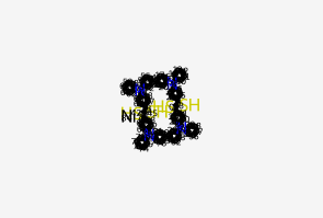 SC(=C(S)c1ccc(N(c2ccccc2)c2ccccc2)cc1)c1ccc(N(c2ccccc2)c2ccccc2)cc1.SC(=C(S)c1ccc(N(c2ccccc2)c2ccccc2)cc1)c1ccc(N(c2ccccc2)c2ccccc2)cc1.[Ni]